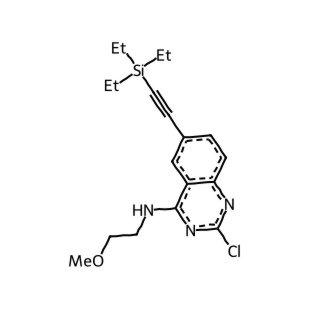 CC[Si](C#Cc1ccc2nc(Cl)nc(NCCOC)c2c1)(CC)CC